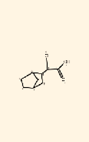 O=C(O)C(Cl)C1CC2CCC1C2